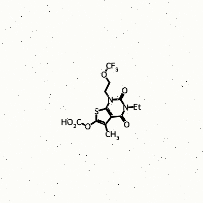 CCn1c(=O)c2c(C)c(OC(=O)O)sc2n(CCOC(F)(F)F)c1=O